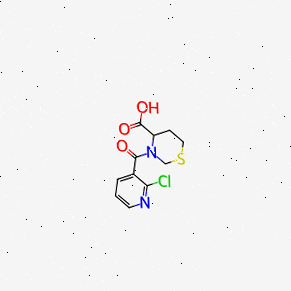 O=C(O)C1CCSCN1C(=O)c1cccnc1Cl